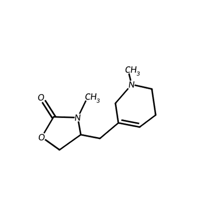 CN1CCC=C(CC2COC(=O)N2C)C1